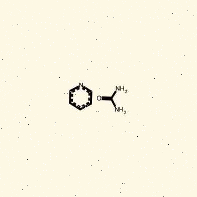 NC(N)=O.c1ccncc1